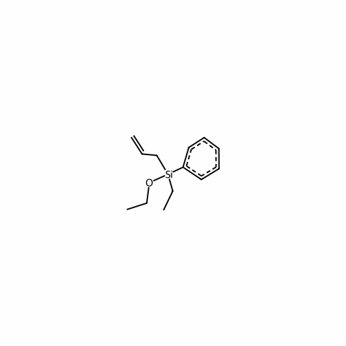 C=CC[Si](CC)(OCC)c1ccccc1